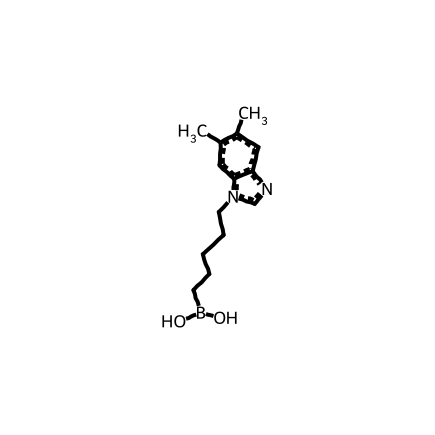 Cc1cc2ncn(CCCCCB(O)O)c2cc1C